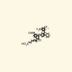 CC[C@@H]1C[C@H](Nc2ncc(N3CCOCC3)c(Cc3cc(C(F)(F)F)cc(C(F)(F)F)c3)n2)c2nc(OC)ccc2N1C(=O)OCCCCC(=O)O